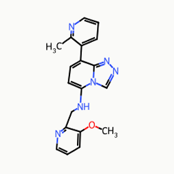 COc1cccnc1CNc1ccc(-c2cccnc2C)c2nncn12